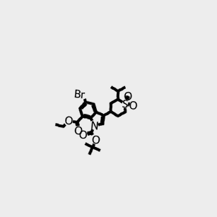 CCOC(=O)c1cc(Br)cc2c(C3CCS(=O)(=O)C(C(C)C)C3)cn(C(=O)OC(C)(C)C)c12